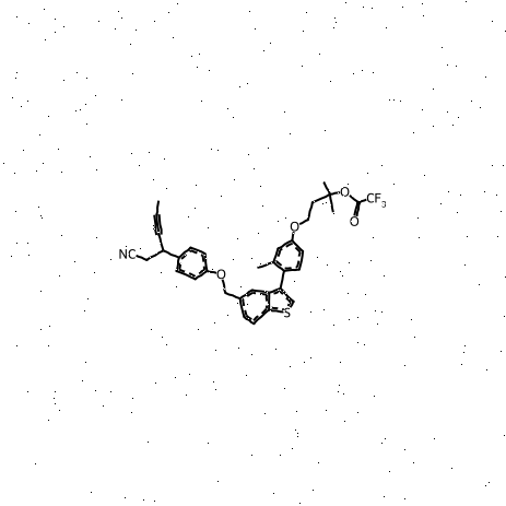 CC#CC(CC#N)c1ccc(OCc2ccc3scc(-c4ccc(OCCC(C)(C)OC(=O)C(F)(F)F)cc4C)c3c2)cc1